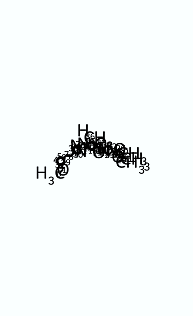 COc1cccc(/C=C/c2cnc(Nc3ccc(S(=O)(=O)N4CCN(C(=O)OC(C)(C)C)CC4)cc3C)nc2)c1